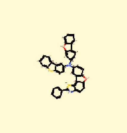 c1ccc(-c2nc3ccc4oc5ccc(N(c6ccc7c(c6)oc6ccccc67)c6ccc7sc8ccccc8c7c6)cc5c4c3s2)cc1